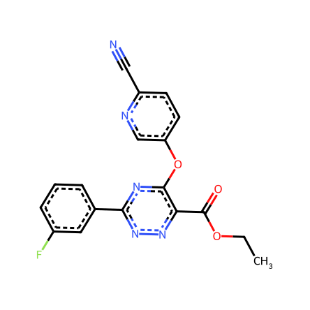 CCOC(=O)c1nnc(-c2cccc(F)c2)nc1Oc1ccc(C#N)nc1